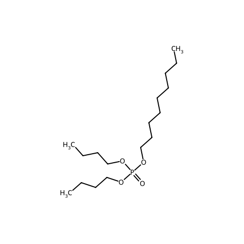 CCCCCCCCCOP(=O)(OCCCC)OCCCC